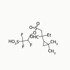 CCC(C=O)(CS(=O)(=O)OCC(F)C(F)(F)S(=O)(=O)O)C1CC1(C)C